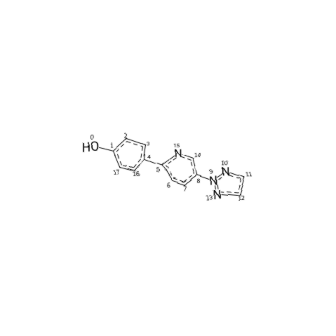 Oc1ccc(-c2ccc(-n3nccn3)cn2)cc1